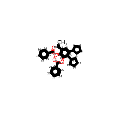 CCc1cc(C2CCCC2)c(C2CCCC2)c(OC(=O)c2ccccc2)c1OC(=O)c1ccccc1